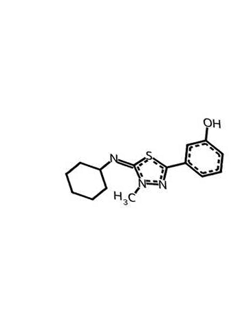 Cn1nc(-c2cccc(O)c2)s/c1=N/C1CCCCC1